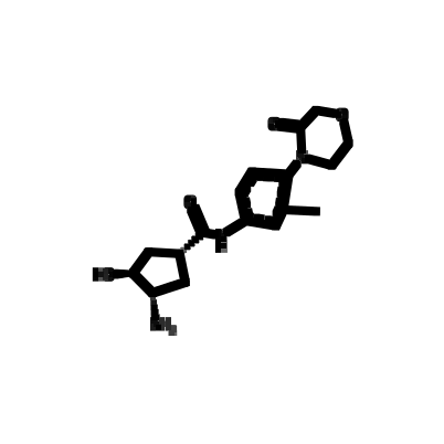 Cc1cc(NC(=O)[C@@H]2C[C@H](N)[C@@H](O)C2)ccc1N1CCOCC1=O